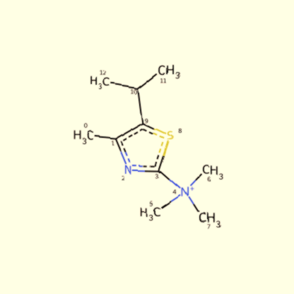 Cc1nc([N+](C)(C)C)sc1C(C)C